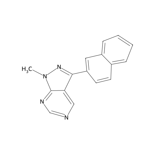 Cn1nc(-c2ccc3ccccc3c2)c2cncnc21